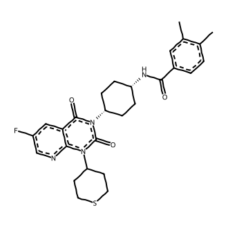 Cc1ccc(C(=O)N[C@H]2CC[C@@H](n3c(=O)c4cc(F)cnc4n(C4CCSCC4)c3=O)CC2)cc1C